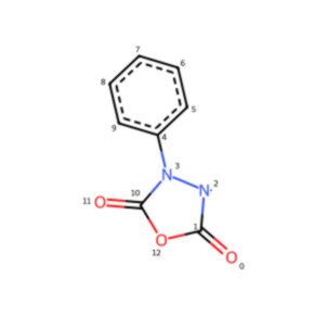 O=C1[N]N(c2ccccc2)C(=O)O1